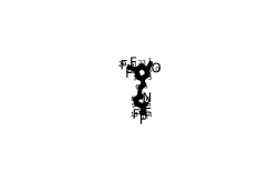 O=Cc1cc(/C=C/c2ccc(C(F)(F)F)cn2)cc(C(F)(F)F)c1